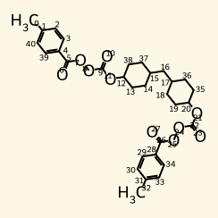 Cc1ccc(C(=O)OOC(=O)OC2CCC(CC3CCC(OC(=O)OOC(=O)c4ccc(C)cc4)CC3)CC2)cc1